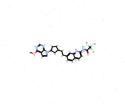 COc1ncnc2c1ccn2C1CCC(CCc2ccc3ccc(NC(=O)C(F)(F)F)nc3c2)C1